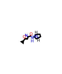 O=C(N[C@@H]1C[C@H]2CC[C@@H](C1)N2)c1cc(C2CC2)on1